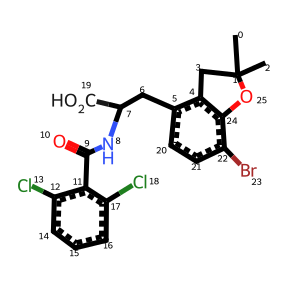 CC1(C)Cc2c(CC(NC(=O)c3c(Cl)cccc3Cl)C(=O)O)ccc(Br)c2O1